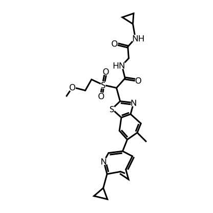 COCCS(=O)(=O)C(C(=O)NCC(=O)NC1CC1)c1nc2cc(C)c(C3=C/N=C(C4CC4)\C=C\C=C\3)cc2s1